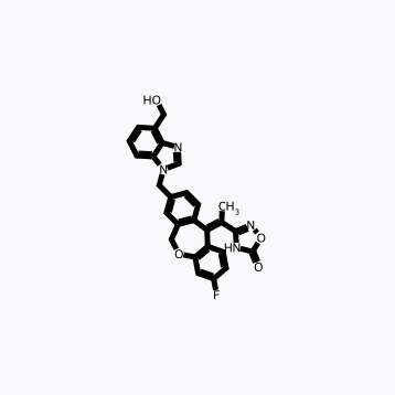 C/C(=C1\c2ccc(Cn3cnc4c(CO)cccc43)cc2COc2cc(F)ccc21)c1noc(=O)[nH]1